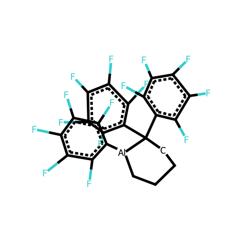 Fc1c(F)c(F)[c]([Al]2[CH2]CCC[C]2(c2c(F)c(F)c(F)c(F)c2F)c2c(F)c(F)c(F)c(F)c2F)c(F)c1F